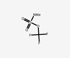 CNS(=O)(=O)OC(F)(F)F